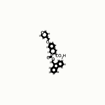 O=C(O)[C@@H]1Cc2ccc(OCC3CCOCC3)cc2CN1C(=O)OCC1c2ccccc2-c2ccccc21